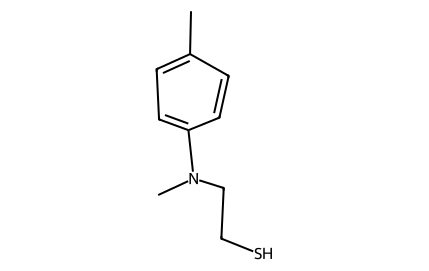 Cc1ccc(N(C)CCS)cc1